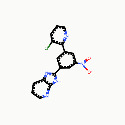 O=[N+]([O-])c1cc(-c2nc3cccnc3[nH]2)cc(-c2ncccc2Cl)c1